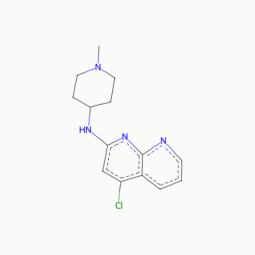 CN1CCC(Nc2cc(Cl)c3cccnc3n2)CC1